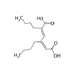 CCCCC(=CC(=O)O)C=C(CCCC)C(=O)O